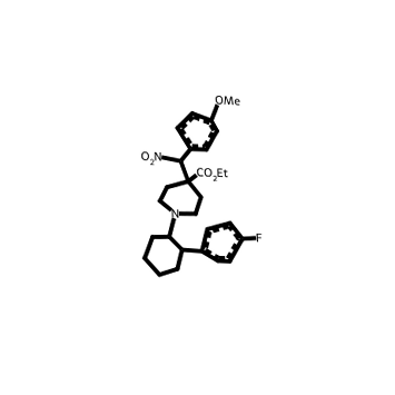 CCOC(=O)C1(C(c2ccc(OC)cc2)[N+](=O)[O-])CCN(C2CCCCC2c2ccc(F)cc2)CC1